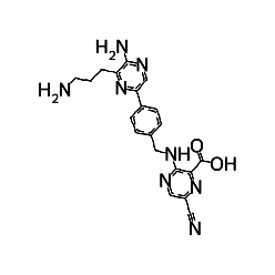 N#Cc1cnc(NCc2ccc(-c3cnc(N)c(CCCN)n3)cc2)c(C(=O)O)n1